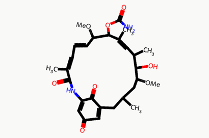 COC1/C=C/C=C(\C)C(=O)NC2=CC(=O)C=C(CC(C)CC(OC)C(O)C(C)/C=C(/C)C1OC(N)=O)C2=O